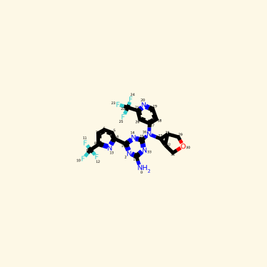 Nc1nc(-c2cccc(C(F)(F)F)n2)nc(N(c2ccnc(C(F)(F)F)c2)C2C3COCC32)n1